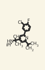 C=C(C)c1cc(C(C)(C)NC(C)C)cc(-c2ccc(F)c(Cl)c2)n1